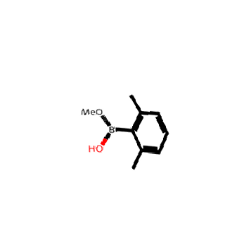 COB(O)c1c(C)cccc1C